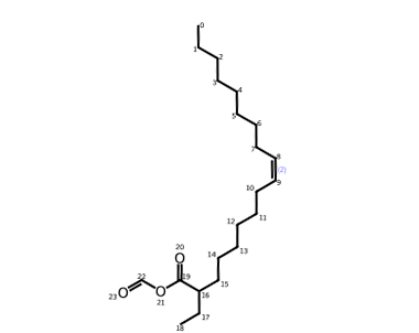 CCCCCCCC/C=C\CCCCCCC(CC)C(=O)OC=O